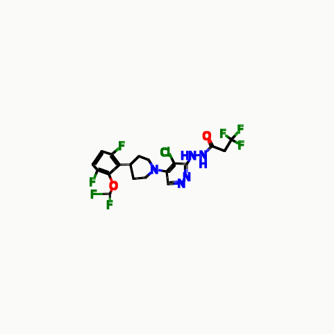 O=C(CC(F)(F)F)NNc1nncc(N2CCC(c3c(F)ccc(F)c3OC(F)F)CC2)c1Cl